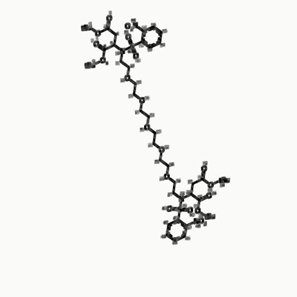 CC(C)(C)OC(=O)CC(C(=O)OC(C)(C)C)N(CCOCCOCCOCCOCCOCCN(C(CC(=O)OC(C)(C)C)C(=O)OC(C)(C)C)S(=O)(=O)c1ccccc1[N+](=O)[O-])S(=O)(=O)c1ccccc1[N+](=O)[O-]